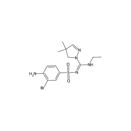 CCN/C(=N/S(=O)(=O)c1ccc(N)c(Br)c1)N1CC(C)(C)C=N1